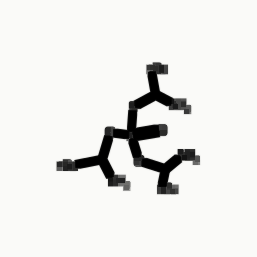 CCCCC(N)OP(=O)(OC(N)CCCC)SC(N)CCCC